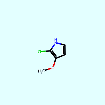 COc1cc[nH]c1Cl